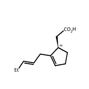 CCC=CCC1=CCC[C@@H]1CC(=O)O